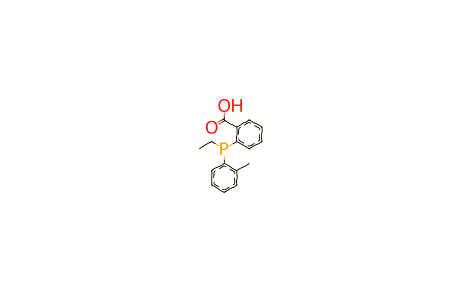 CCP(c1ccccc1C)c1ccccc1C(=O)O